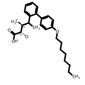 CCCCCCCCOc1ccc(-c2ccccc2C(C)[C@H](C)[C@H](Cl)C(=O)O)cc1